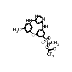 Cc1cc(C)cc(Nc2cc(Nc3cccc(S(=O)(=O)N(C)OC(=O)C(F)(F)F)c3)ncn2)c1